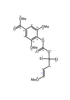 CCC(CC)(C/C=C/OC)OC(=O)Oc1c(OC)cc(C(=O)OC)cc1OC